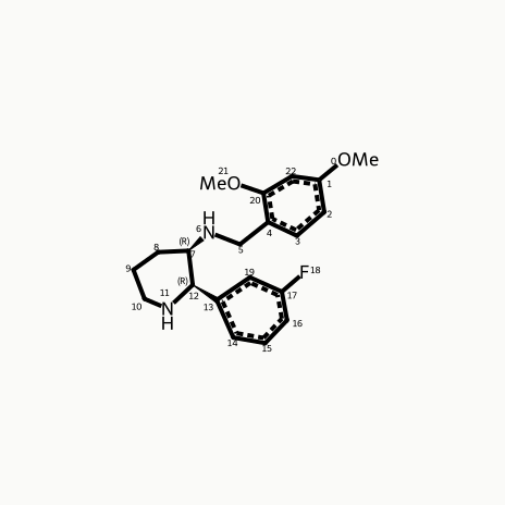 COc1ccc(CN[C@@H]2CCCN[C@@H]2c2cccc(F)c2)c(OC)c1